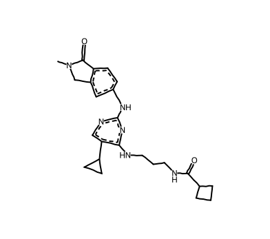 CN1Cc2cc(Nc3ncc(C4CC4)c(NCCCNC(=O)C4CCC4)n3)ccc2C1=O